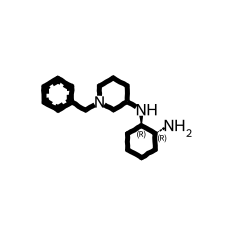 N[C@@H]1CCCC[C@H]1NC1CCCN(Cc2ccccc2)C1